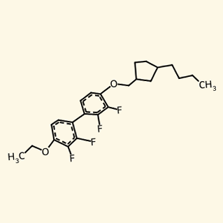 CCCCC1CCC(COc2ccc(-c3ccc(OCC)c(F)c3F)c(F)c2F)C1